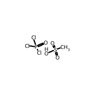 CS(=O)(=O)O.O=P(Cl)(Cl)Cl